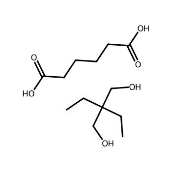 CCC(CC)(CO)CO.O=C(O)CCCCC(=O)O